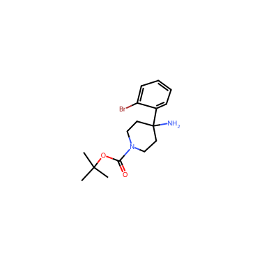 CC(C)(C)OC(=O)N1CCC(N)(c2ccccc2Br)CC1